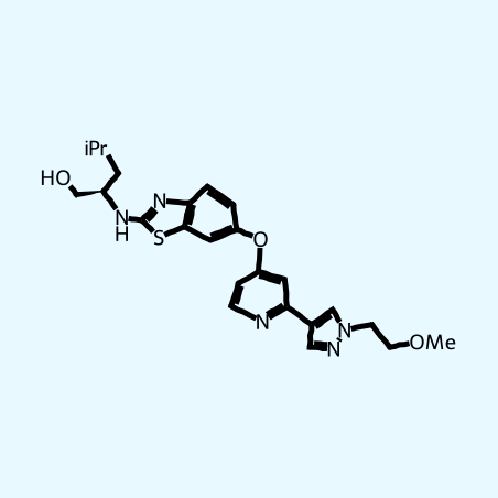 COCCn1cc(-c2cc(Oc3ccc4nc(N[C@@H](CO)CC(C)C)sc4c3)ccn2)cn1